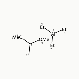 COC(C)OC.C[CH2][Al]([CH2]C)[CH2]C